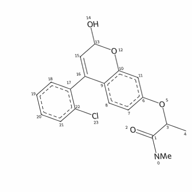 CNC(=O)C(C)Oc1ccc2c(c1)OC(O)C=C2c1ccccc1Cl